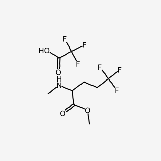 CNC(CCC(F)(F)F)C(=O)OC.O=C(O)C(F)(F)F